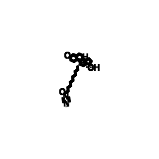 CN1CCN(C(=O)CCCCCCCCCC[C@H]2C[C@]3(C)[C@@H](O)CC[C@H]3[C@@H]3CCC4=CC(=O)CCC4=C23)CC1